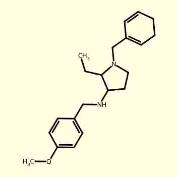 CCC1C(NCc2ccc(OC)cc2)CCN1CC1=CCCC=C1